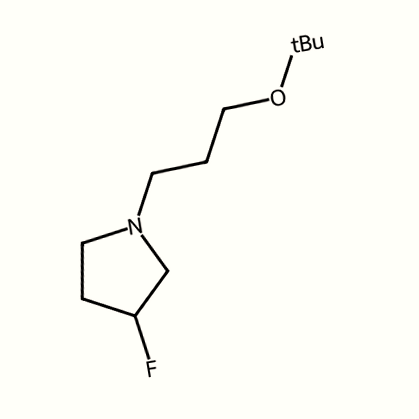 CC(C)(C)OCCCN1CCC(F)C1